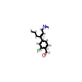 CCC/C(=C\C=N/C)c1ccc(C=O)c(F)c1